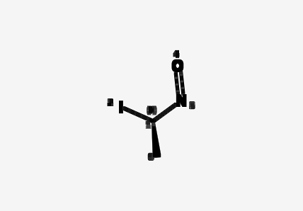 C[C@@H](I)N=O